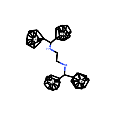 C(CNC([C]12[CH]3[CH]4[CH]5[CH]1[Fe]45321678[CH]2[CH]1[CH]6[CH]7[CH]28)[C]12[CH]3[CH]4[CH]5[CH]1[Fe]45321678[CH]2[CH]1[CH]6[CH]7[CH]28)NC([C]12[CH]3[CH]4[CH]5[CH]1[Fe]45321678[CH]2[CH]1[CH]6[CH]7[CH]28)[C]12[CH]3[CH]4[CH]5[CH]1[Fe]45321678[CH]2[CH]1[CH]6[CH]7[CH]28